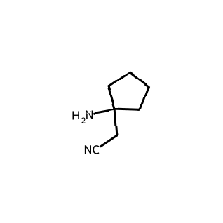 N#CCC1(N)CCCC1